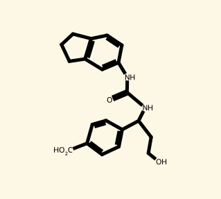 O=C(Nc1ccc2c(c1)CCC2)NC(CCO)c1ccc(C(=O)O)cc1